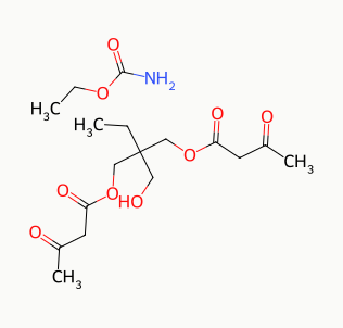 CCC(CO)(COC(=O)CC(C)=O)COC(=O)CC(C)=O.CCOC(N)=O